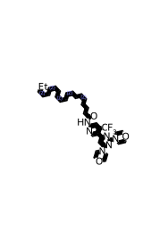 CC/C=C\C/C=C\C/C=C\C/C=C\C/C=C\CCCC(=O)Nc1cc(C(F)(F)F)c(-c2cc(N3CCOCC3)nc(N3CCOCC3)n2)cn1